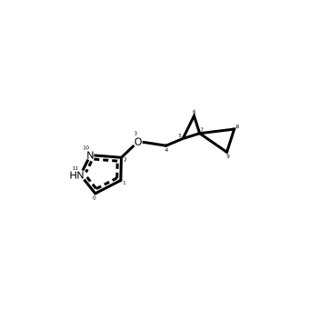 c1cc(OCC2CC23CC3)n[nH]1